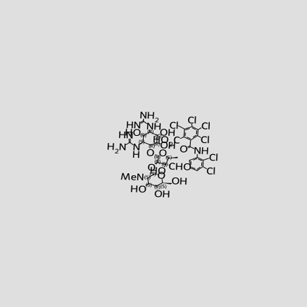 CN[C@@H]1[C@H](O[C@H]2[C@H](O[C@H]3[C@H](O)[C@@H](O)[C@H](NC(=N)N)[C@@H](O)[C@@H]3NC(=N)N)O[C@@H](C)[C@]2(O)C=O)O[C@@H](CO)[C@H](O)[C@H]1O.O=C(O)c1c(Cl)c(Cl)c(Cl)c(Cl)c1C(=O)Nc1cccc(Cl)c1Cl